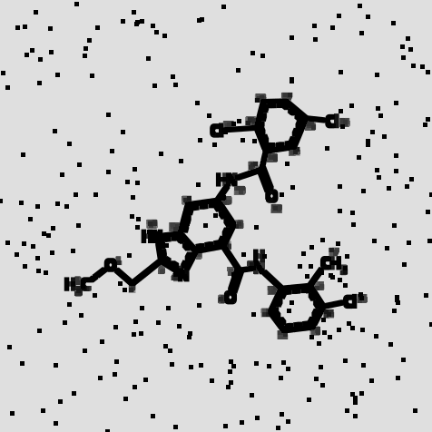 COCc1nc2c(C(=O)Nc3cccc(Cl)c3C)cc(NC(=O)c3cc(Cl)ccc3Cl)cc2[nH]1